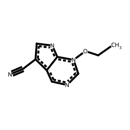 CCOn1cncc2c(C#N)cnc1-2